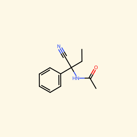 CCC(C#N)(NC(C)=O)c1ccccc1